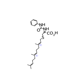 CC(C)=CCC/C(C)=C/CC/C(C)=C/CSC[C@H](NC(=O)Nc1ccccc1)C(=O)O